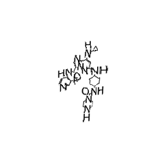 O=C(Nc1ccncc1F)c1cnc2c(NC3CC3)cc(NC3CCC(NC(=O)N4CCNCC4)CC3)nn12